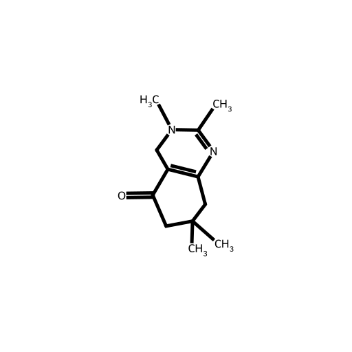 CC1=NC2=C(CN1C)C(=O)CC(C)(C)C2